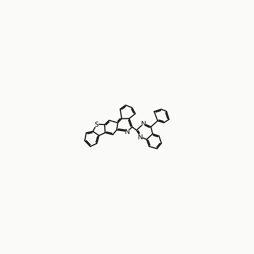 c1ccc(-c2nc(-c3nc4cc5c(cc4c4ccccc34)sc3ccccc35)nc3ccccc23)cc1